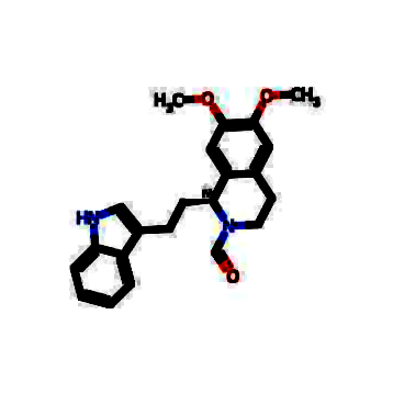 COc1cc2c(cc1OC)[C@H](CCc1c[nH]c3ccccc13)N(C=O)CC2